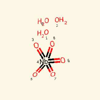 O.O.O.[O]=[Nb](=[O])(=[O])(=[O])=[O]